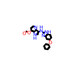 O=COc1ccnc2c(Nc3nc4cc(Oc5ccccc5)ccc4[nH]3)c[nH]c12